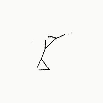 [Al].[SiH3]C1OC1C1CO1